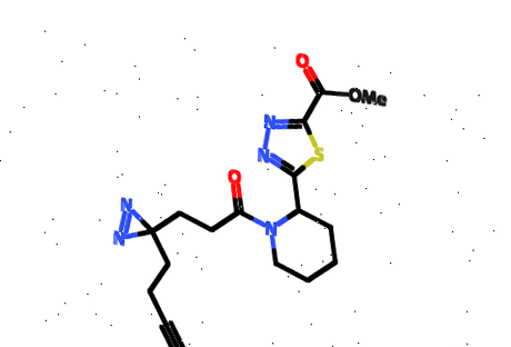 C#CCCC1(CCC(=O)N2CCCCC2c2nnc(C(=O)OC)s2)N=N1